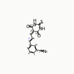 N#Cc1cccc(/C=C/C=C2C(=O)NC(=S)NC2=O)c1